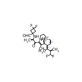 C=C(NC1(C=O)CC(F)(F)C1)C(=O)c1c(C)c(C(/C=C\C)=C(\C)C(=C)C(F)F)c2n1CCC2